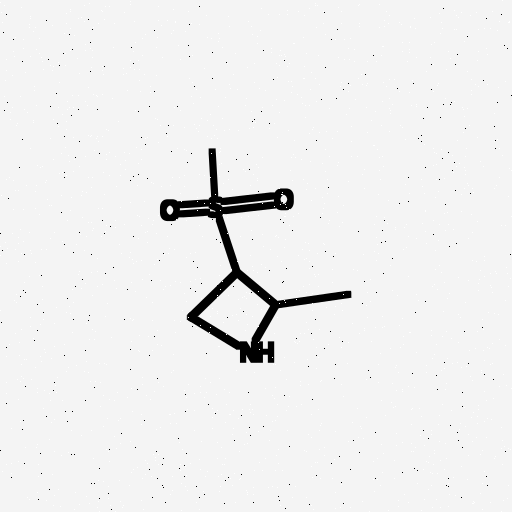 CC1NCC1S(C)(=O)=O